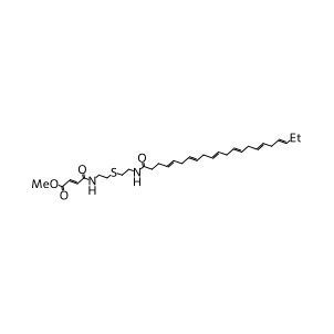 CCC=CCC=CCC=CCC=CCC=CCC=CCCC(=O)NCCSCCNC(=O)C=CC(=O)OC